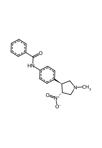 CN1C[C@H](c2ccc(NC(=O)c3ccccc3)cc2)[C@@H]([N+](=O)[O-])C1